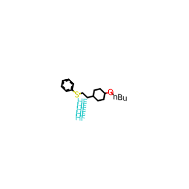 CCCCOC1CCC(CCSc2ccccc2)CC1.F.F.F.F.F